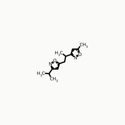 Cc1cc(C(C)Cc2cc(C(C)C)no2)no1